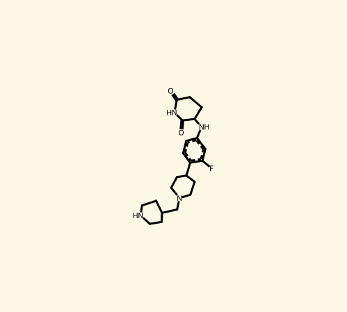 O=C1CCC(Nc2ccc(C3CCN(CC4CCNCC4)CC3)c(F)c2)C(=O)N1